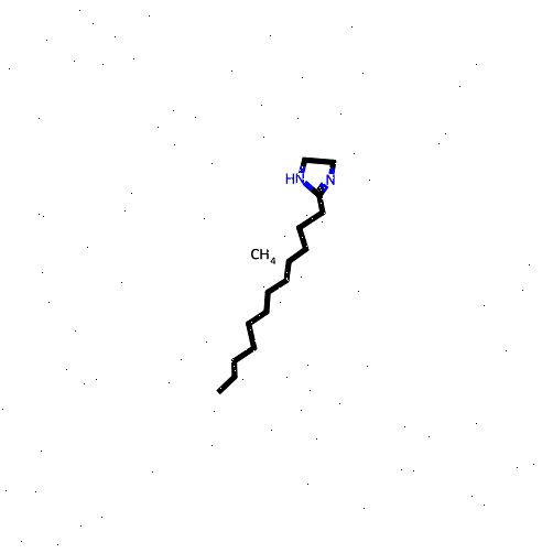 C.CCCCCCCCCCCCC1=NCCN1